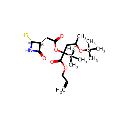 C=CCOC(=O)C(CC(C)O[Si](C)(C)C)(OC(=O)C[C@@H]1C(=O)N[C@@H]1S)[Si](C)(C)C